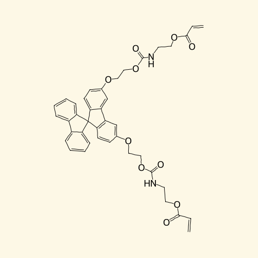 C=CC(=O)OCCNC(=O)OCCOc1ccc2c(c1)-c1cc(OCCOC(=O)NCCOC(=O)C=C)ccc1C21c2ccccc2-c2ccccc21